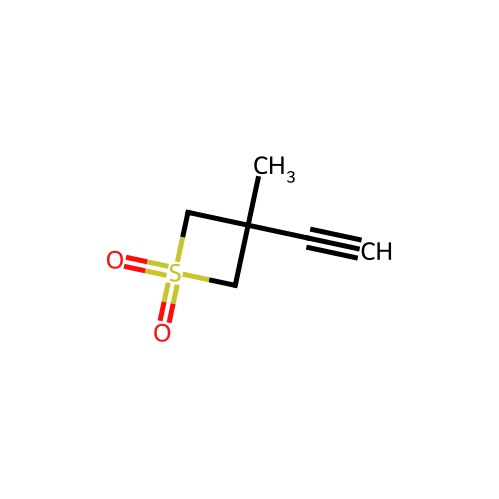 C#CC1(C)CS(=O)(=O)C1